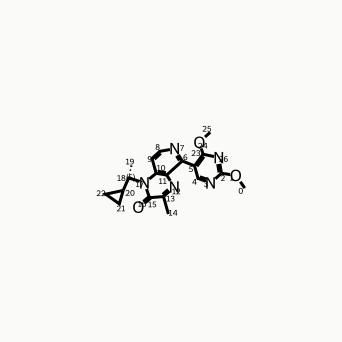 COc1ncc(-c2nccc3c2nc(C)c(=O)n3[C@@H](C)C2CC2)c(OC)n1